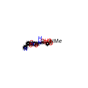 CNS(=O)(=O)c1cccc(OC[C@@H](O)CNC2COC3(CCN(S(=O)(=O)c4cccc(-c5cccnc5)c4)CC3)C2)c1